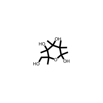 CC1(O)OC(C)(CO)C(C)(O)C(C)(O)C1(C)C